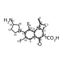 C=c1sc2c(C(=O)O)c(=O)c3cc(F)c(N4CCC(N)C4)c(F)c3n12